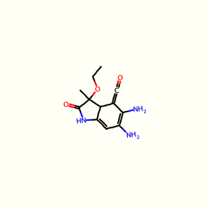 CCOC1(C)C(=O)NC2=CC(N)=C(N)C(=C=O)C21